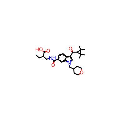 CCC(CNC(=O)c1ccc2c(C(=O)C3C(C)(C)C3(C)C)cn(CC3CCOCC3)c2c1)C(=O)O